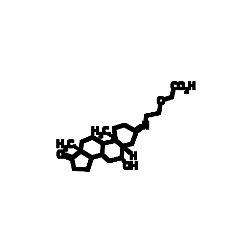 C[C@]12CCC3C(C[C@@H](O)[C@H]4C/C(=N/CCOCC(=O)O)CC[C@]34C)C1CCC2=O